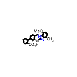 CCCCc1nc2c(C)ccc(OC)c2n1Cc1ccc(-c2ccccc2C(=O)O)cc1